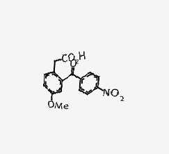 COc1ccc(CC(=O)O)c(C(=O)c2ccc([N+](=O)[O-])cc2)c1